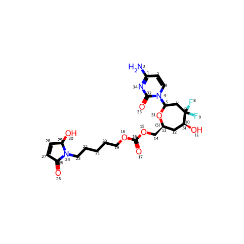 Nc1ccn(C2CC(F)(F)[C@@H](O)C[C@@H](COC(=O)OCCCCCN3C(=O)C=CC3O)O2)c(=O)n1